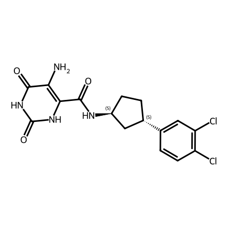 Nc1c(C(=O)N[C@H]2CC[C@H](c3ccc(Cl)c(Cl)c3)C2)[nH]c(=O)[nH]c1=O